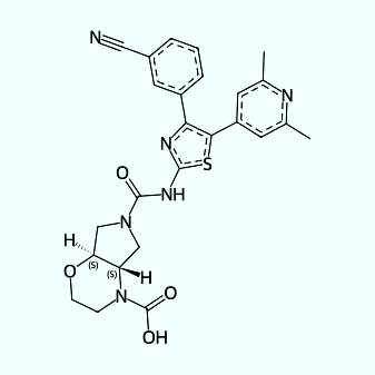 Cc1cc(-c2sc(NC(=O)N3C[C@@H]4OCCN(C(=O)O)[C@H]4C3)nc2-c2cccc(C#N)c2)cc(C)n1